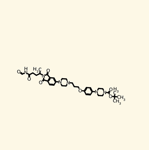 CC(CCC(=O)NC=O)N1C(=O)c2ccc(N3CCN(CCCOc4ccc(N5CCN(C(=O)OC(C)(C)C)CC5)cc4)CC3)cc2C1=O